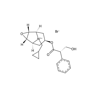 C[N+]1(CC2CC2)[C@@H]2C[C@@H](OC(=O)[C@H](CO)c3ccccc3)C[C@H]1[C@@H]1O[C@@H]12.[Br-]